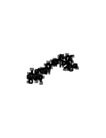 COC(=O)N[C@H](C(=O)N1[C@H](C)[C@H](C)C[C@H]1c1ncc(-c2ccc(C34CCC(c5cnc([C@@H]6C[C@@H](C)[C@@H](C)N6C(=O)[C@@H](NC(=O)OC)C(C)C)[nH]5)(CC3)CC4)cc2)[nH]1)C(C)C